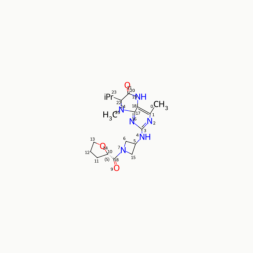 Cc1nc(NC2CN(C(=O)[C@@H]3CCCO3)C2)nc2c1NC(=O)C(C(C)C)N2C